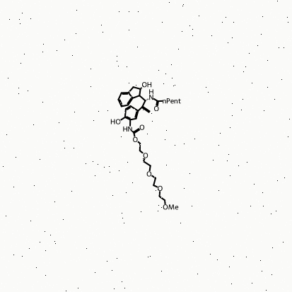 C=C(c1ccc(O)c(NC(=O)OCCOCCOCCOCCOC)c1)[C@@H](NC(=O)CCCCC)C1c2ccccc2C[C@H]1O